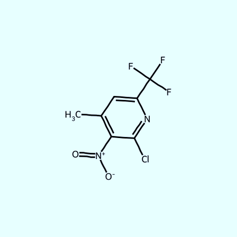 Cc1cc(C(F)(F)F)nc(Cl)c1[N+](=O)[O-]